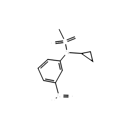 CS(=O)(=O)N(c1cccc([N+](=O)[O-])c1)C1CC1